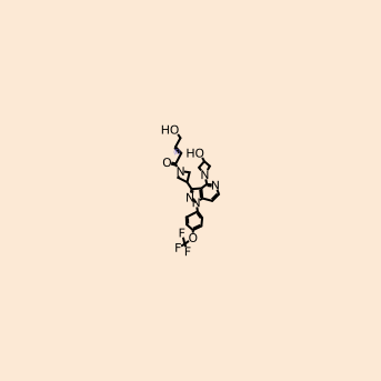 O=C(/C=C/CO)N1CC(c2nn(-c3ccc(OC(F)(F)F)cc3)c3ccnc(N4CC(O)C4)c23)C1